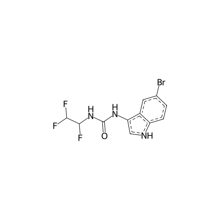 O=C(Nc1c[nH]c2ccc(Br)cc12)NC(F)C(F)F